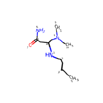 CCCNC(C(N)=O)N(C)C